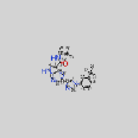 C[C@H](NC(=O)c1c[nH]c2ncc(-c3cn(-c4cccc(C(C)(C)C)c4)cn3)nc12)C(C)(C)C